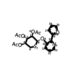 CC(=O)O[C@@H]1[C@@H](OC(C)=O)[C@H](OC(C)=O)CS[C@H]1Oc1cccnc1-c1ccco1